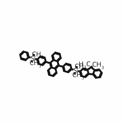 CC1(C)c2ccccc2-c2ccc([Si](C)(C)c3ccc(-c4c5ccccc5c(-c5ccc([Si](C)(C)c6ccccc6)cc5)c5ccccc45)cc3)cc21